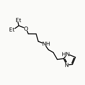 CCC(CC)OCCCNCCCc1ncc[nH]1